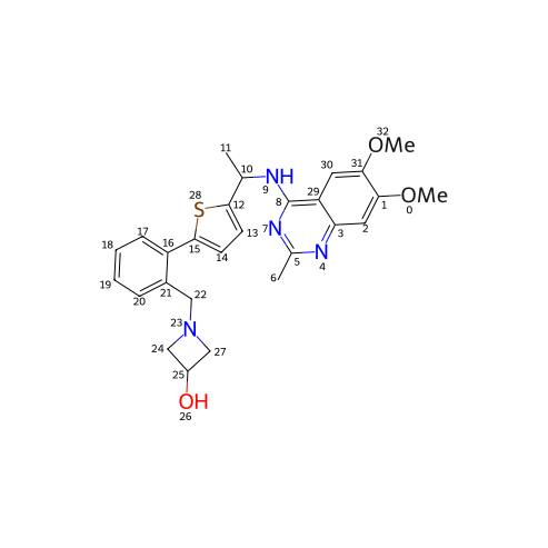 COc1cc2nc(C)nc(NC(C)c3ccc(-c4ccccc4CN4CC(O)C4)s3)c2cc1OC